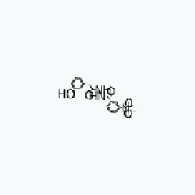 O=C(Cc1cccc(O)c1)NNC(=O)c1cccc([N+](=O)[O-])c1